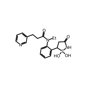 CCN(C(=O)CCc1cccnc1)c1ccccc1C1CC(=O)NS1(O)O